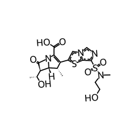 C[C@@H](O)[C@H]1C(=O)N2C(C(=O)O)=C(c3cn4cnc(S(=O)(=O)N(C)CCO)c4s3)[C@H](C)[C@H]12